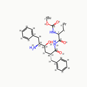 CC(C)CC(NC(=O)OC(C)(C)C)C(=O)NC(=O)[C@H](Cc1ccccc1)C[C@H](O)[C@@H](N)Cc1ccccc1